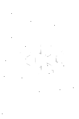 O=C1c2cc3c(cc2C(=O)c2c(O)c(O)c(O)c(O)c21)CCCC3